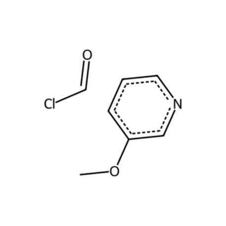 COc1cccnc1.O=CCl